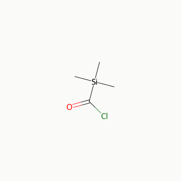 C[Si](C)(C)C(=O)Cl